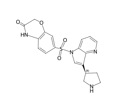 O=C1COc2cc(S(=O)(=O)n3cc([C@H]4CCNC4)c4ncccc43)ccc2N1